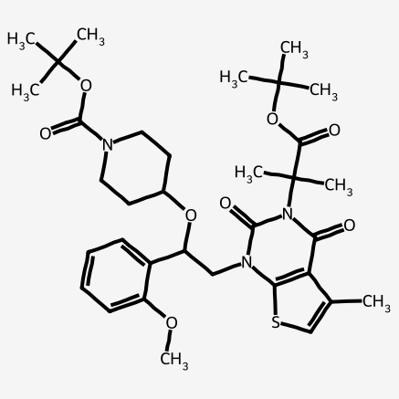 COc1ccccc1C(Cn1c(=O)n(C(C)(C)C(=O)OC(C)(C)C)c(=O)c2c(C)csc21)OC1CCN(C(=O)OC(C)(C)C)CC1